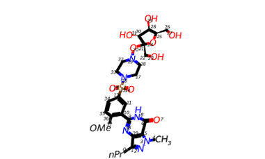 CCCc1nn(C)c2c(=O)[nH]c(-c3cc(S(=O)(=O)N4CCN(O[C@@]5(CO)O[C@H](CO)[C@H](O)[C@H]5O)CC4)ccc3OC)nc12